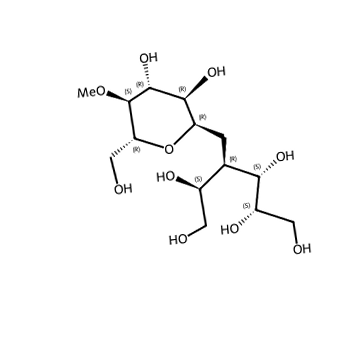 CO[C@H]1[C@H](O)[C@@H](O)[C@@H](C[C@@H]([C@H](O)[C@@H](O)CO)[C@H](O)CO)O[C@@H]1CO